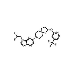 FC(F)Cn1ncc2ncc(N3CCC4(CCC(Oc5cc(C(F)(F)F)ccn5)C4)CC3)nc21